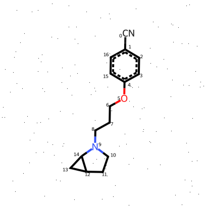 N#Cc1ccc(OCCCN2CCC3CC32)cc1